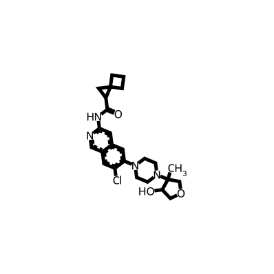 CC1(N2CCN(c3cc4cc(NC(=O)C5CC56CCC6)ncc4cc3Cl)CC2)COCC1O